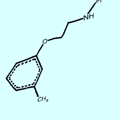 Cc1cccc(OCCNC(C)C)c1